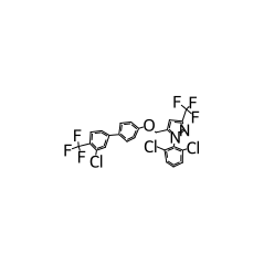 FC(F)(F)c1cc(COc2ccc(-c3ccc(C(F)(F)F)c(Cl)c3)cc2)n(-c2c(Cl)cccc2Cl)n1